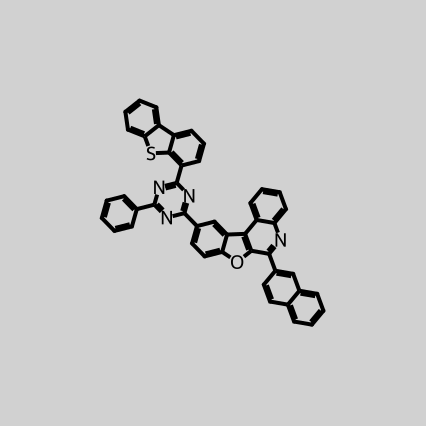 c1ccc(-c2nc(-c3ccc4oc5c(-c6ccc7ccccc7c6)nc6ccccc6c5c4c3)nc(-c3cccc4c3sc3ccccc34)n2)cc1